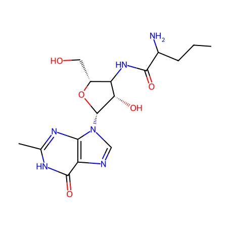 CCCC(N)C(=O)NC1[C@@H](CO)O[C@@H](n2cnc3c(=O)[nH]c(C)nc32)[C@H]1O